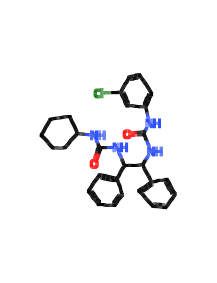 O=C(Nc1cccc(Cl)c1)NC(c1ccccc1)C(NC(=O)NC1CCCCC1)c1ccccc1